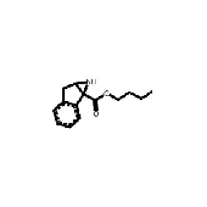 CCCCOC(=O)C12NC1Cc1ccccc12